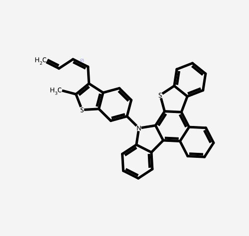 C=C/C=C\c1c(C)sc2cc(-n3c4ccccc4c4c5ccccc5c5c6ccccc6sc5c43)ccc12